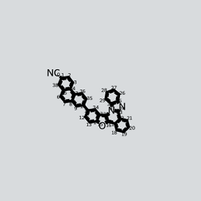 N#Cc1ccc2c(ccc3cc(-c4ccc5oc6c7ccccc7c7nc8ccccc8n7c6c5c4)ccc32)c1